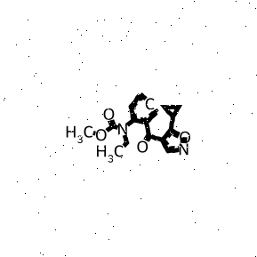 CCN(C(=O)OC)c1ccccc1C(=O)c1cnoc1C1CC1